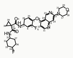 O=C(NC1C=C(F)C(Oc2ccnc3cc(N4CCOCC4)ncc23)=CC1)C1(C(=O)NC2CCC(F)CC2)CC1